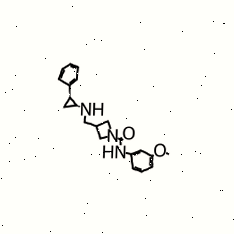 COc1cccc(NC(=O)N2CC(CN[C@@H]3C[C@H]3c3ccccc3)C2)c1